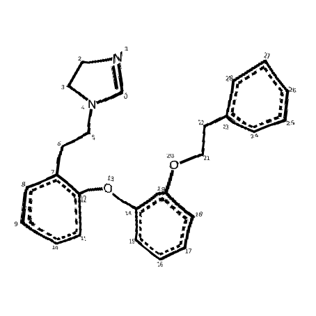 C1=NCCN1CCc1ccccc1Oc1ccccc1OCCc1ccccc1